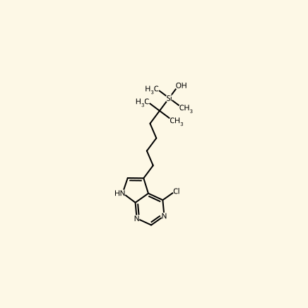 CC(C)(CCCCc1c[nH]c2ncnc(Cl)c12)[Si](C)(C)O